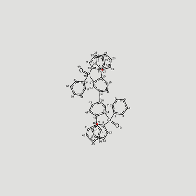 O=P(c1ccccc1)(c1ccccc1)c1cc(-c2ccc(-c3cccnc3)c(P(=O)(c3ccccc3)c3ccccc3)c2)ccc1-c1cccnc1